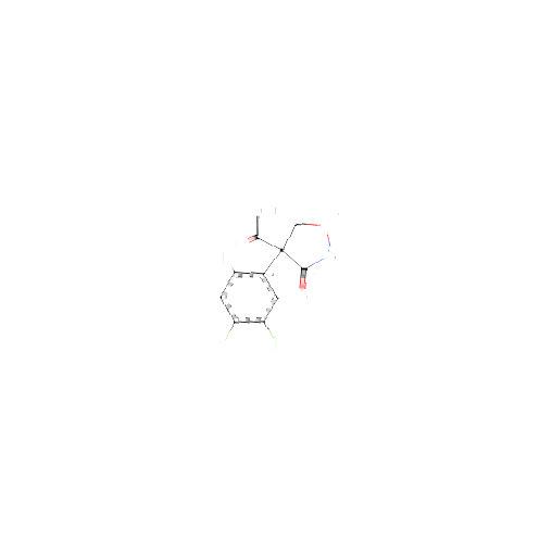 CCCC(=O)C1(c2cc(F)c(F)cc2F)CONC1=O